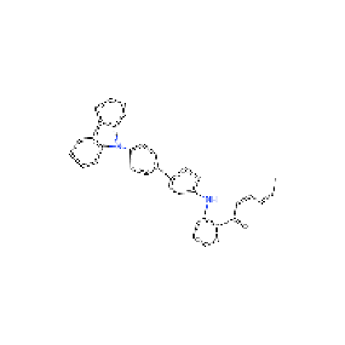 C=C(/C=C\C=C/C)c1ccccc1Nc1ccc(-c2ccc(-n3c4ccccc4c4ccccc43)cc2)cc1